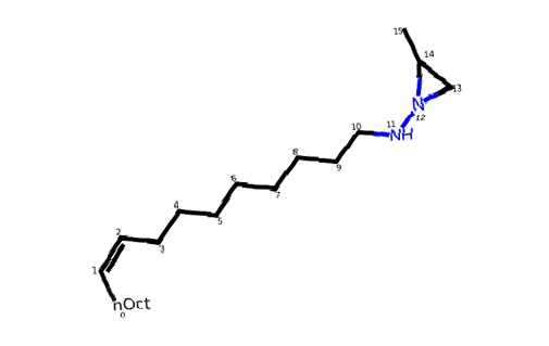 CCCCCCCC/C=C\CCCCCCCCNN1CC1C